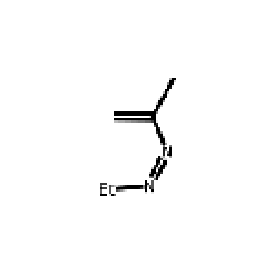 C=C(C)/N=N\CC